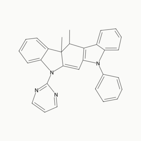 CC1c2c(n(-c3ccccc3)c3ccccc23)C=C2N(c3ncccn3)c3ccccc3C21C